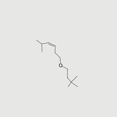 CC(C)/C=C\CCOCCC(C)(C)C